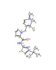 C=N/C=C\C(Cn1cccc1C(=O)Nc1nc(C(C)(C)C)cs1)=C(/C)Cl